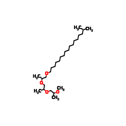 COC(C)COC(C)COC(C)COCCCCCCCCCCCCCCCC(C)C